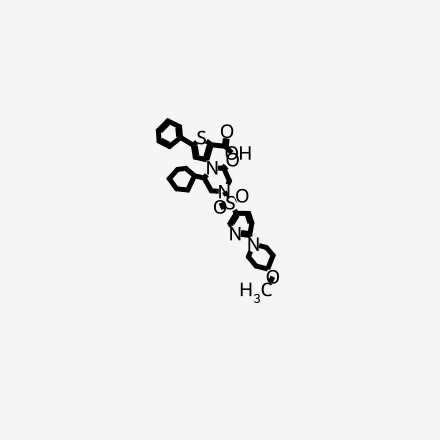 COC1CCN(c2ccc(S(=O)(=O)N3CC(=O)N(c4cc(-c5ccccc5)sc4C(=O)O)C(C4CCCCC4)C3)cn2)CC1